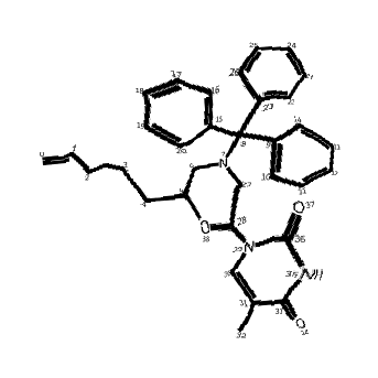 C=CC[CH]CC1CN(C(c2ccccc2)(c2ccccc2)c2ccccc2)CC(n2cc(C)c(=O)[nH]c2=O)O1